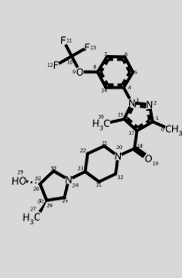 Cc1nn(-c2cccc(OC(F)(F)F)c2)c(C)c1C(=O)N1CCC(N2C[C@@H](C)[C@H](O)C2)CC1